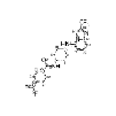 O=C(N[C@H]1CC[C@@H](Nc2cccc3nc(C(F)(F)F)cn23)CC1)c1ccc(C(F)F)cc1